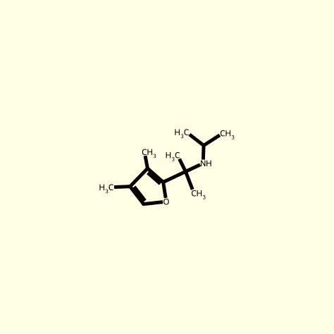 Cc1coc(C(C)(C)NC(C)C)c1C